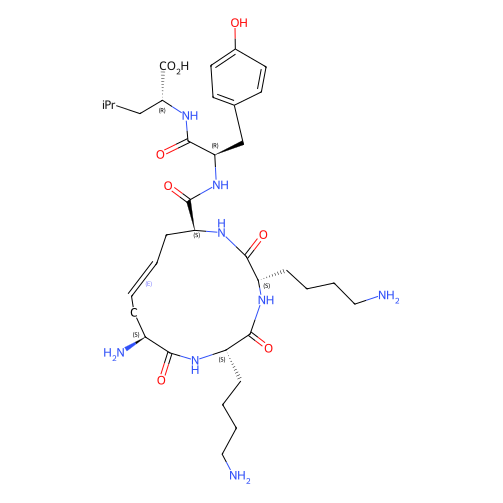 CC(C)C[C@@H](NC(=O)[C@@H](Cc1ccc(O)cc1)NC(=O)[C@@H]1C/C=C/C[C@H](N)C(=O)N[C@@H](CCCCN)C(=O)N[C@@H](CCCCN)C(=O)N1)C(=O)O